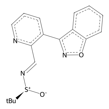 CC(C)(C)[S@+]([O-])N=Cc1ncccc1-c1noc2ccccc12